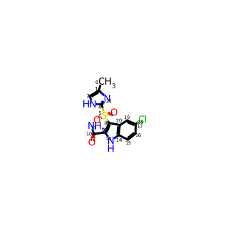 Cc1c[nH]c(S(=O)(=O)c2c(C(N)=O)[nH]c3ccc(Cl)cc23)n1